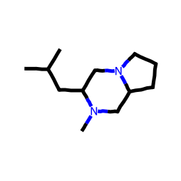 CC(C)CC1CN2CCCC2CN1C